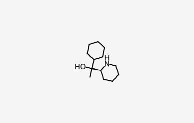 CC(O)(C1CCCCC1)[C@@H]1CCCCN1